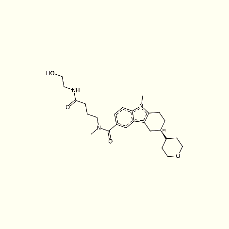 CN(CCCC(=O)NCCO)C(=O)c1ccc2c(c1)c1c(n2C)CC[C@@H](C2CCOCC2)C1